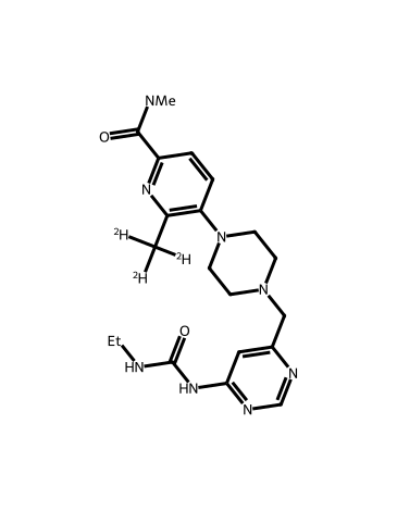 [2H]C([2H])([2H])c1nc(C(=O)NC)ccc1N1CCN(Cc2cc(NC(=O)NCC)ncn2)CC1